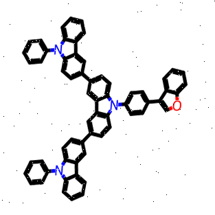 c1ccc(-n2c3ccccc3c3cc(-c4ccc5c(c4)c4cc(-c6ccc7c(c6)c6ccccc6n7-c6ccccc6)ccc4n5-c4ccc(-c5coc6ccccc56)cc4)ccc32)cc1